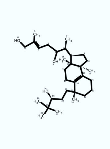 C/C(=C\CC(O)[C@@H](C)[C@H]1CC[C@@]2(C)C3=C(CC[C@]12C)[C@@](C)(CC[C@H](O)C(C)(C)C)CCC3)CO